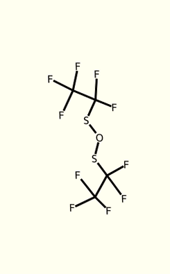 FC(F)(F)C(F)(F)SOSC(F)(F)C(F)(F)F